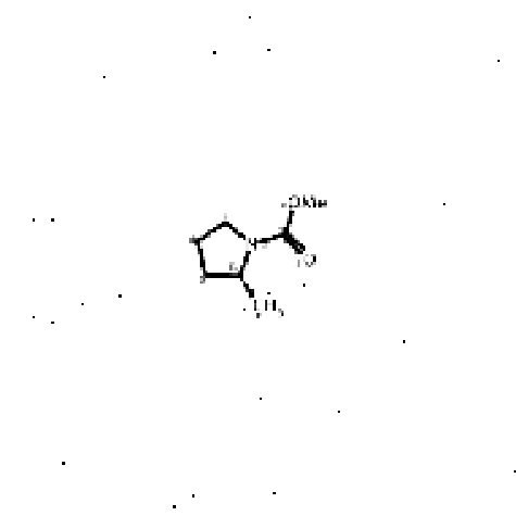 COC(=O)N1CCC[C@@H]1C